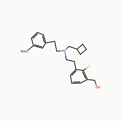 COc1cccc(CCN(CCc2cccc(CO)c2F)CC2CCC2)c1